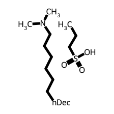 CCCCCCCCCCCCCCCCN(C)C.CCCS(=O)(=O)O